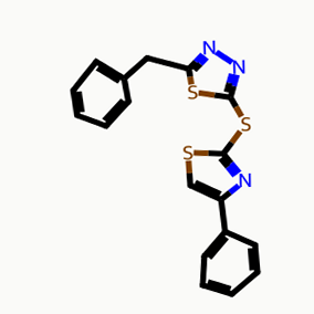 c1ccc(Cc2nnc(Sc3nc(-c4ccccc4)cs3)s2)cc1